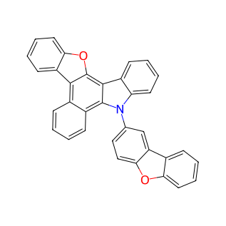 c1ccc2c(c1)oc1ccc(-n3c4ccccc4c4c5oc6ccccc6c5c5ccccc5c43)cc12